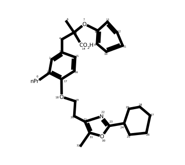 CCCc1cc(CC(C)(Oc2ccccc2)C(=O)O)ccc1OCCc1nc(C2CCCCC2)oc1C